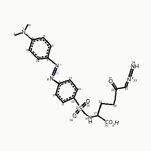 CN(C)c1ccc(/N=N/c2ccc(S(=O)(=O)NC(CCC(=O)C=[N+]=N)C(=O)O)cc2)cc1